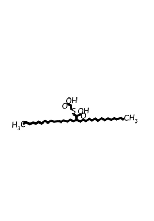 CCCCCCCCCCCCCCCCCC(CCCCCCCCCCCCCCCC)C(CSCCC(=O)O)C(=O)O